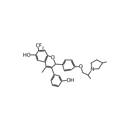 CC1=C(c2cccc(O)c2)C(c2ccc(OCC(C)N3CCC(C)C3)cc2)Oc2cc(C(F)(F)F)c(O)cc21